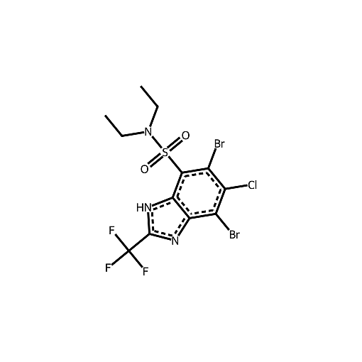 CCN(CC)S(=O)(=O)c1c(Br)c(Cl)c(Br)c2nc(C(F)(F)F)[nH]c12